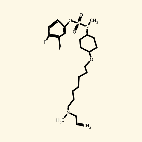 C=CCN(C)CCCCCCCOC1CCC(N(C)S(=O)(=O)Oc2ccc(F)c(F)c2)CC1